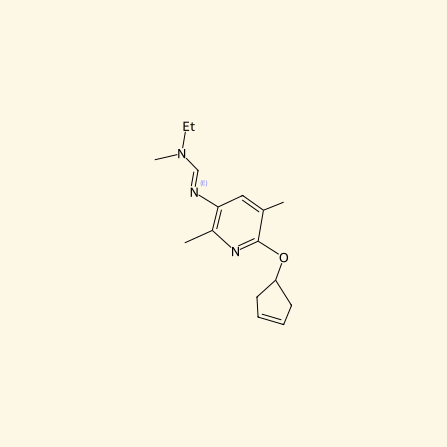 CCN(C)/C=N/c1cc(C)c(OC2CC=CC2)nc1C